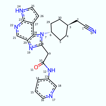 N#CC[C@H]1CC[C@H](n2c(CC(=O)Nc3cccnc3)nc3cnc4[nH]ccc4c32)CC1